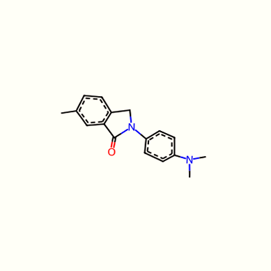 Cc1ccc2c(c1)C(=O)N(c1ccc(N(C)C)cc1)C2